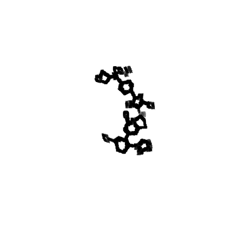 O=C(O)N(c1ccc(-c2nc(Cl)c([C@@H]3CCc4cc(-c5cc(Cl)ccc5-n5cnnn5)cc(=O)n43)[nH]2)cc1)C1COC1